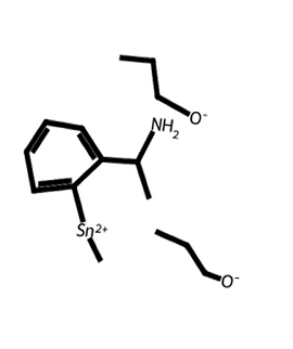 CCC[O-].CCC[O-].[CH3][Sn+2][c]1ccccc1C(C)N